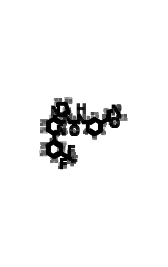 O=C(Nc1cccc(-c2cnco2)c1)N1c2nc(-c3cccc(C(F)(F)F)c3)ccc2N2CCC1C2